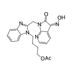 CC(=O)OCCCCn1c(CN2C(=O)C(=NO)c3cccnc32)nc2ccccc21